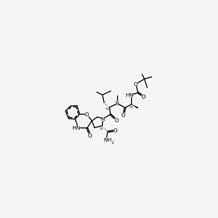 CC(C)C[C@@H](C(=O)N1CC2(C[C@H]1C(N)=O)Oc1ccccc1NC2=O)N(C)C(=O)[C@H](C)NC(=O)OC(C)(C)C